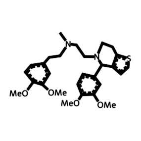 COc1ccc(CCN(C)CCN2CCc3sccc3C2c2ccc(OC)c(OC)c2)cc1OC